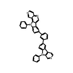 c1ccc(-n2c3ccc(-c4cccc(-c5ccc6c(c5)c5cnc7ccncc7c5n6-c5ccccc5)c4)cc3c3ccncc32)cc1